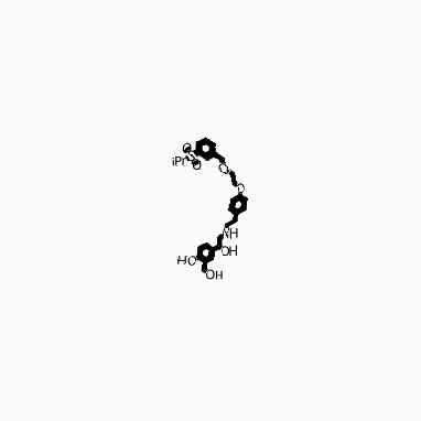 CC(C)S(=O)(=O)c1cccc(COCCOc2ccc(CCNCC(O)c3ccc(O)c(CO)c3)cc2)c1